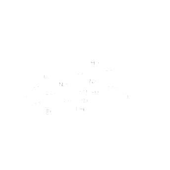 [2H]C1([2H])c2c(C)cc(-c3c(CC)cccc3CC)nc2CCN1c1cc(C(C)C)ccc1C